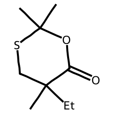 CCC1(C)CSC(C)(C)OC1=O